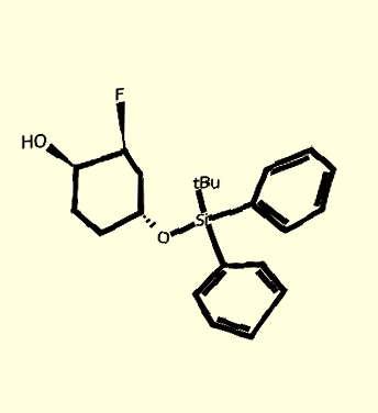 CC(C)(C)[Si](O[C@@H]1CC[C@@H](O)[C@@H](F)C1)(c1ccccc1)c1ccccc1